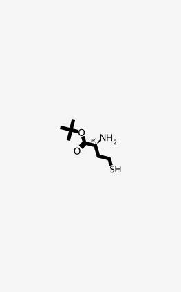 CC(C)(C)OC(=O)[C@H](N)CCS